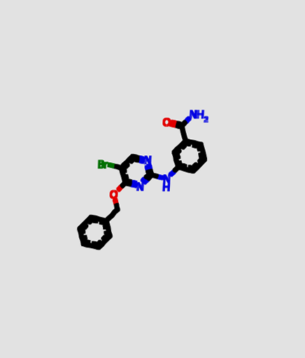 NC(=O)c1cccc(Nc2ncc(Br)c(OCc3ccccc3)n2)c1